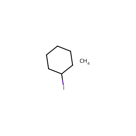 C.IC1CCCCC1